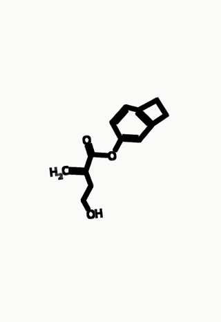 C=C(CCO)C(=O)Oc1ccc2c(c1)CC2